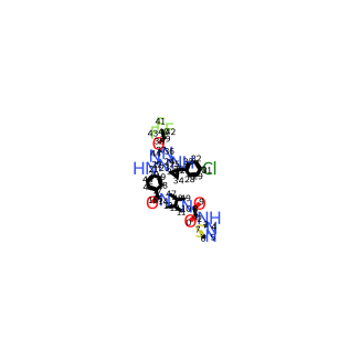 O=C(Nc1nncs1)C(=O)N1CC2CN(C(=O)c3ccc(Nc4nc(NC5(c6ccc(Cl)cc6)CC5)nc(OCC(F)(F)F)n4)cc3)CC2C1